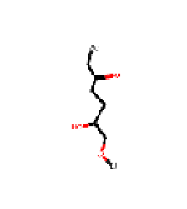 CCOCC(O)CCC(=O)CC(C)=O